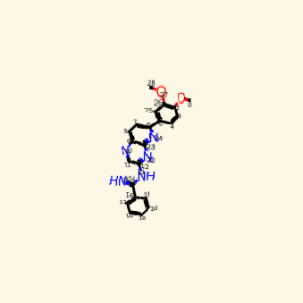 COc1ccc(-c2ccc3ncc(NC(=N)c4ccccc4)nc3n2)cc1OC